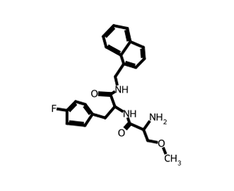 COCC(N)C(=O)NC(Cc1ccc(F)cc1)C(=O)NCc1cccc2ccccc12